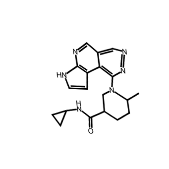 CC1CCC(C(=O)NC2CC2)CN1c1nncc2cnc3[nH]ccc3c12